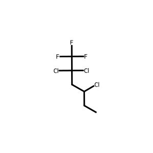 CCC(Cl)CC(Cl)(Cl)C(F)(F)F